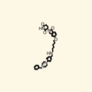 O=C1CCC(N2Cc3cc(OCCCCCCNCc4ccc(N5CCN(Cc6ccccc6)CC5)cc4)ccc3C2=O)C(=O)N1